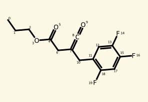 CCCOC(=O)CC(=C=O)Cc1cc(F)c(F)cc1F